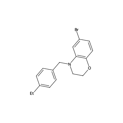 CCc1ccc(CN2CCOc3ccc(Br)cc32)cc1